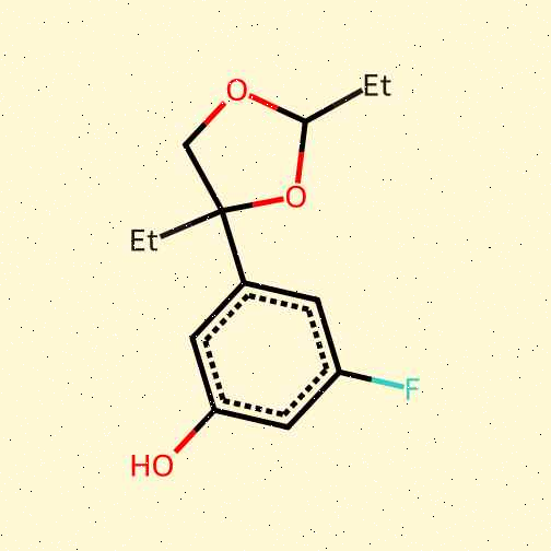 CCC1OCC(CC)(c2cc(O)cc(F)c2)O1